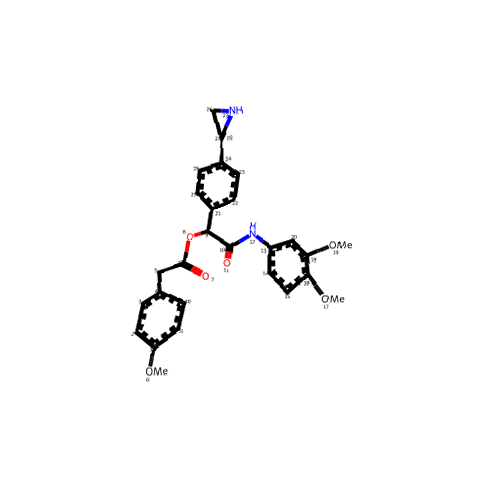 COc1ccc(CC(=O)OC(C(=O)Nc2ccc(OC)c(OC)c2)c2ccc([C@H]3CN3)cc2)cc1